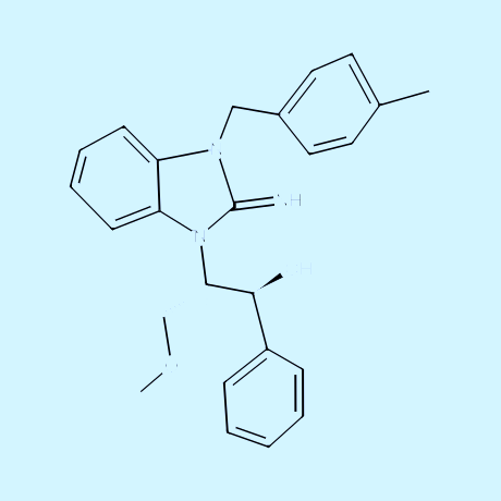 COC[C@@H]([C@@H](O)c1ccccc1)n1c(=N)n(Cc2ccc(C)cc2)c2ccccc21